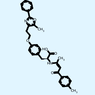 CC(=CC(=O)c1ccc(C)cc1)N[C@@H](Cc1ccc(OCCc2nc(-c3ccccc3)oc2C)cc1)C(=O)O